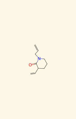 C=CCN1CCCC(C=C)C1=O